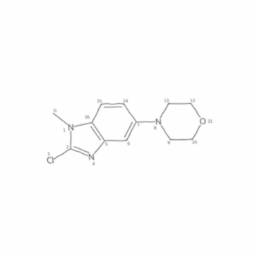 Cn1c(Cl)nc2cc(N3CCOCC3)ccc21